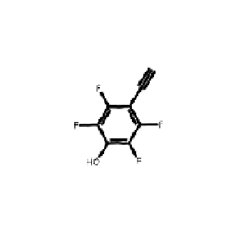 C#Cc1c(F)c(F)c(O)c(F)c1F